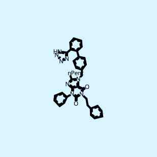 CCCCCc1nc2c(c(=O)n(CCc3ccccc3)c(=O)n2-c2ccccc2)n1Cc1ccc(-c2ccccc2-c2nnn[nH]2)cc1